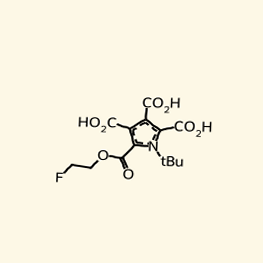 CC(C)(C)n1c(C(=O)O)c(C(=O)O)c(C(=O)O)c1C(=O)OCCF